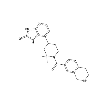 CC1(C)CC(c2ccnc3[nH]c(=O)[nH]c23)CCN1C(=O)c1ccc2c(c1)CNCC2